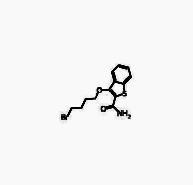 NC(=O)c1sc2ccccc2c1OCCCCBr